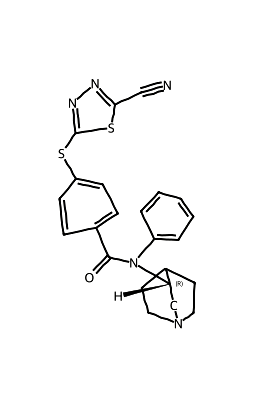 N#Cc1nnc(Sc2ccc(C(=O)N(c3ccccc3)[C@H]3CN4CCC3CC4)cc2)s1